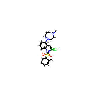 Cc1ccccc1S(=O)(=O)n1ccc2c(N3CCCN(C)CC3)cccc21.Cl